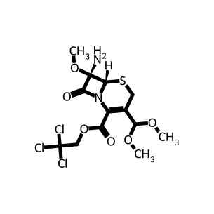 COC(OC)C1=C(C(=O)OCC(Cl)(Cl)Cl)N2C(=O)[C@](N)(OC)[C@@H]2SC1